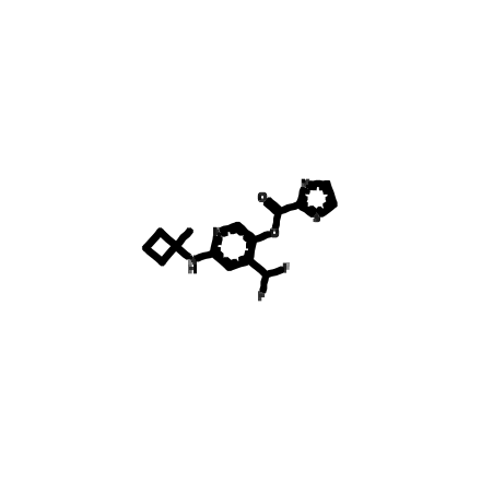 CC1(Nc2cc(C(F)F)c(OC(=O)c3nccs3)cn2)CCC1